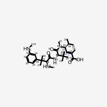 CN[C@H](C(=O)N[C@H](C(=O)N(C)[C@H](/C=C(\C)C(=O)O)C(C)C)C(C)(C)C)C(C)(C)c1cccc(NI)c1